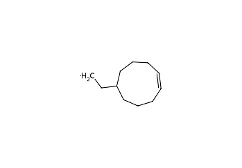 [CH2]CC1CCCC=CCCC1